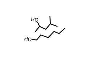 CC(C)CC(C)O.CCCCCCO